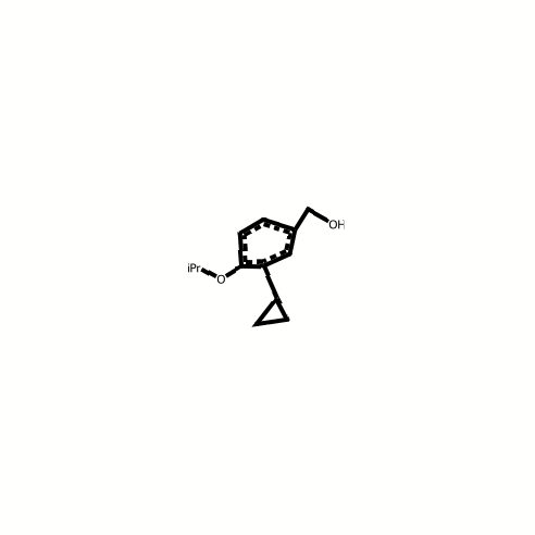 CC(C)Oc1ccc(CO)cc1C1CC1